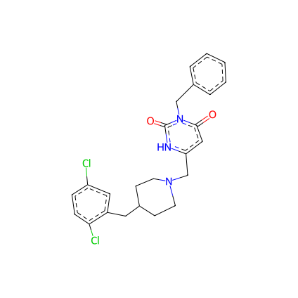 O=c1cc(CN2CCC(Cc3cc(Cl)ccc3Cl)CC2)[nH]c(=O)n1Cc1ccccc1